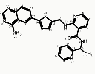 CC(NC(=O)c1cccnc1NCc1ccc(-c2ccc3ncnc(N)c3c2)s1)c1ccccn1